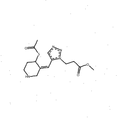 COC(=O)CCn1nncc1/C=C1/CNCCC1SC(C)=O